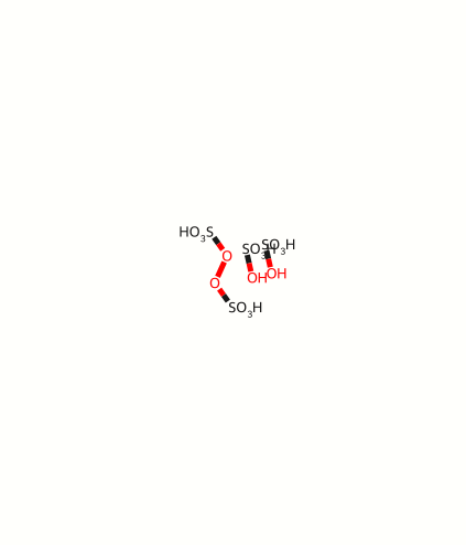 O=S(=O)(O)O.O=S(=O)(O)O.O=S(=O)(O)OOS(=O)(=O)O